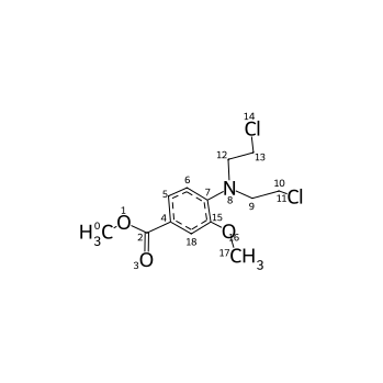 COC(=O)c1ccc(N(CCCl)CCCl)c(OC)c1